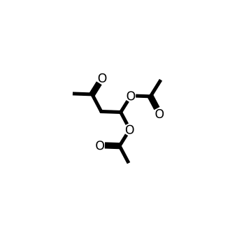 CC(=O)CC(OC(C)=O)OC(C)=O